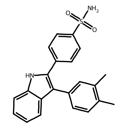 Cc1ccc(-c2c(-c3ccc(S(N)(=O)=O)cc3)[nH]c3ccccc23)cc1C